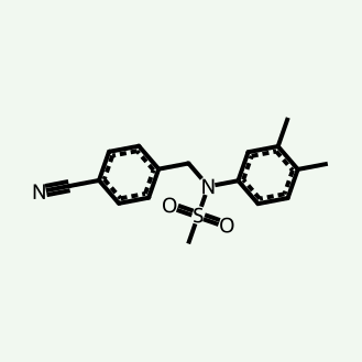 Cc1ccc(N(Cc2ccc(C#N)cc2)S(C)(=O)=O)cc1C